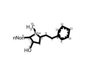 CCCCCCCCCC1C(O)CC(CCc2ccccc2)N1C